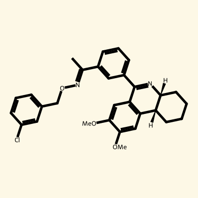 COc1cc2c(cc1OC)[C@H]1CCCC[C@H]1N=C2c1cccc(C(C)=NOCc2cccc(Cl)c2)c1